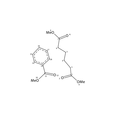 COC(=O)CCCCC(=O)OC.COC(=O)c1ccccc1